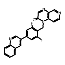 O=c1cnc2cnccc2n1Cc1c(F)cc(-c2cnc3ccccc3c2)cc1F